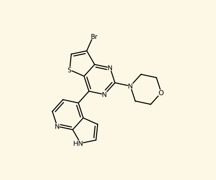 Brc1csc2c(-c3ccnc4[nH]ccc34)nc(N3CCOCC3)nc12